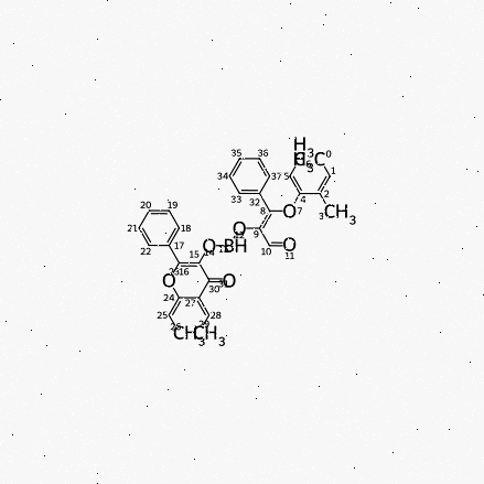 C/C=C(C)\C(=C/C)O/C(=C(\C=O)OBOc1c(-c2ccccc2)oc(=C/C)/c(=C\C)c1=O)c1ccccc1